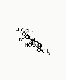 CC1=C(/C=C\C=C\c2noc(-c3ccc(OC(C)C)c(C#N)c3)n2)C(NCCO)CC1